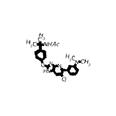 CC(=O)NC(C)(C)c1ccc(Oc2nc3nc(-c4cccc(N(C)C)c4)c(Cl)cc3[nH]2)cc1